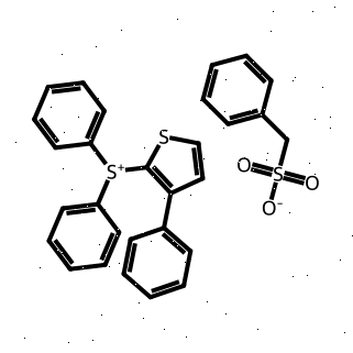 O=S(=O)([O-])Cc1ccccc1.c1ccc(-c2ccsc2[S+](c2ccccc2)c2ccccc2)cc1